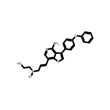 CCN(CC=Cc1cnc(N)c2c(-c3ccc(Oc4ccccc4)cc3)csc12)CCO